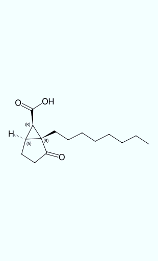 CCCCCCCC[C@@]12C(=O)CC[C@H]1[C@H]2C(=O)O